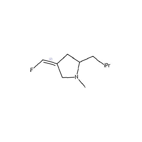 CC(C)CC1C/C(=C/F)CN1C